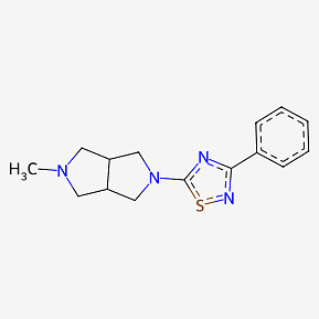 CN1CC2CN(c3nc(-c4ccccc4)ns3)CC2C1